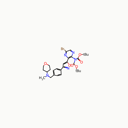 CN(Cc1ccc(-c2cc(-c3nc(Br)cnc3N(C(=O)OC(C)(C)C)C(=O)OC(C)(C)C)on2)cc1)C1CCOCC1